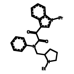 CCN1CCCC1CN(C(=O)C(=O)c1cn(C(C)C)c2ccccc12)c1ccccc1